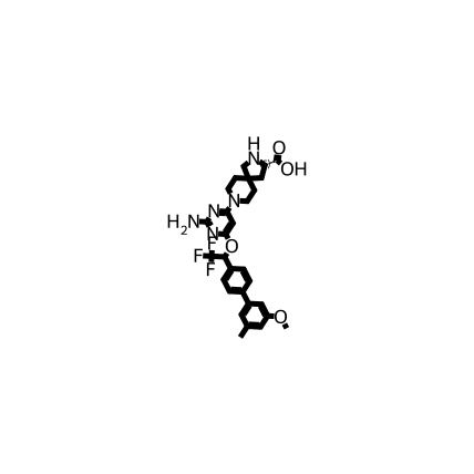 COc1cc(C)cc(-c2ccc(C(Oc3cc(N4CCC5(CC4)CN[C@H](C(=O)O)C5)nc(N)n3)C(F)(F)F)cc2)c1